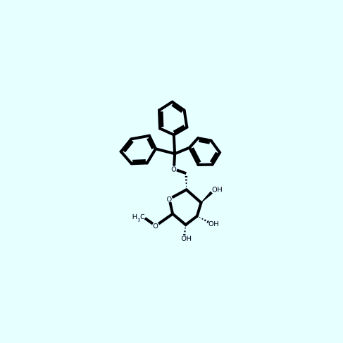 COC1O[C@H](COC(c2ccccc2)(c2ccccc2)c2ccccc2)[C@@H](O)[C@H](O)[C@@H]1O